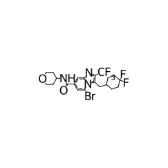 O=C(NC1CCOCC1)c1cc(Br)n2c(CC3CCC(F)(F)CC3)c(C(F)(F)F)nc2c1